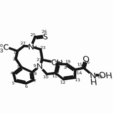 CC1Cc2ccccc2N(Cc2ccc(C(=O)NO)cc2)C(C)CN(C=S)C1